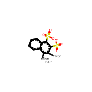 CCCCCCCCCc1c(S(=O)(=O)[O-])c(S(=O)(=O)[O-])c2ccccc2c1CCCCCCCCC.[Ba+2]